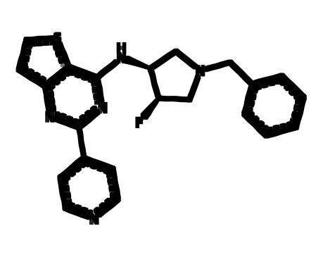 F[C@@H]1CN(Cc2ccccc2)C[C@@H]1Nc1nc(-c2ccncc2)nc2ccsc12